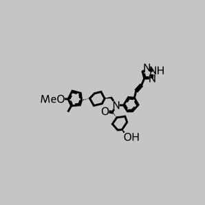 COc1ccc([C@H]2CC[C@H](CN(c3cccc(C#Cc4cn[nH]n4)c3)C(=O)[C@H]3CC[C@H](O)CC3)CC2)cc1C